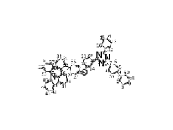 c1ccc(-c2ccc(-c3nc(-c4ccccc4)nc(-c4ccc5c(c4)oc4ccc(-c6ccccc6-c6cccc7c8ccccc8n(-c8ccccc8)c67)cc45)n3)cc2)cc1